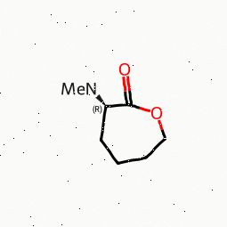 CN[C@@H]1CCCCOC1=O